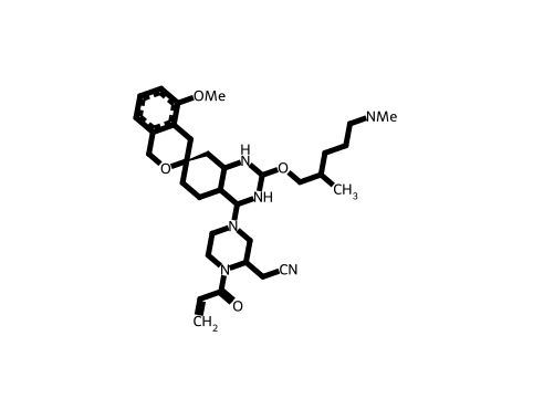 C=CC(=O)N1CCN(C2NC(OCC(C)CCCNC)NC3C[C@]4(CCC32)Cc2c(cccc2OC)CO4)CC1CC#N